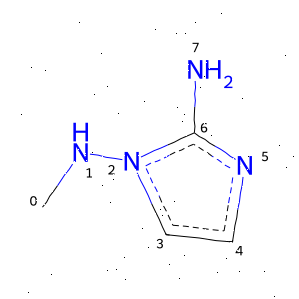 CNn1ccnc1N